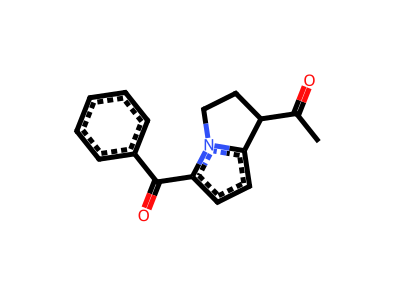 CC(=O)C1CCn2c(C(=O)c3ccccc3)ccc21